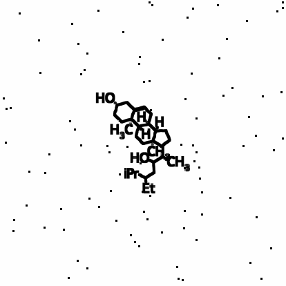 CCC(CC(O)C(C)[C@H]1CC[C@H]2[C@@H]3CC=C4C[C@@H](O)CC[C@]4(C)[C@H]3CC[C@]12C)C(C)C